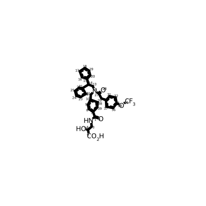 O=C(NCC(O)C(=O)O)c1ccc(CN(CC(c2ccccc2)c2ccccc2)C(=O)Cc2ccc(OC(F)(F)F)cc2)cc1